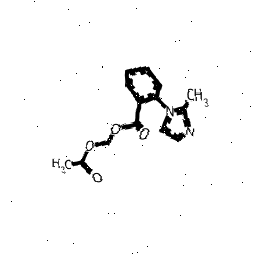 CC(=O)OCOC(=O)c1ccccc1-n1ccnc1C